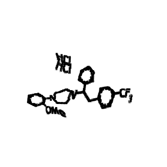 COc1ccccc1N1CCN(C(Cc2ccc(C(F)(F)F)cc2)c2ccccc2)CC1.Cl.Cl